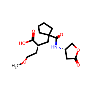 COCC[C@H](CC1(C(=O)N[C@@H]2COC(=O)C2)CCCC1)C(=O)O